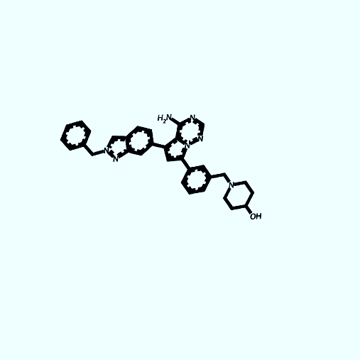 Nc1ncnn2c(-c3cccc(CN4CCC(O)CC4)c3)cc(-c3ccc4cn(Cc5ccccc5)nc4c3)c12